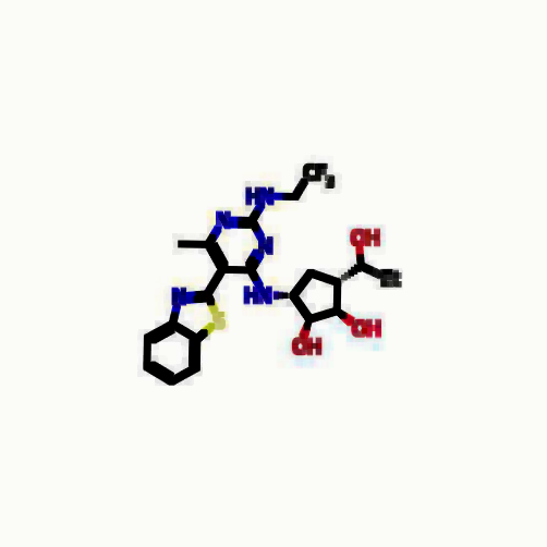 CCC(O)[C@H]1C[C@@H](Nc2nc(NCC(F)(F)F)nc(C)c2-c2nc3ccccc3s2)[C@H](O)[C@@H]1O